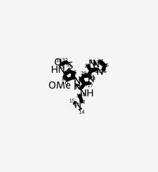 COc1cc2c(cc1-n1nc(NCCN(C)C)c3cnc(-c4cnn5cccnc45)cc31)SCC(=O)N2